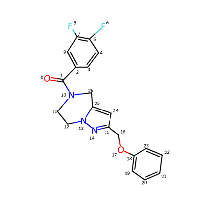 O=C(c1ccc(F)c(F)c1)N1CCn2nc(COc3ccccc3)cc2C1